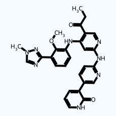 CCC(=O)c1cnc(Nc2ccc(-c3ccc[nH]c3=O)cn2)cc1Nc1cccc(-c2ncn(C)n2)c1OC